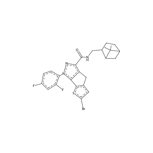 CC1(C)C2CCC(CNC(=O)c3nn(-c4ccc(F)cc4F)c4c3Cc3cc(Br)sc3-4)C1C2